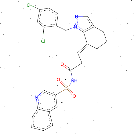 O=C(C/C=C1\CCCc2cnn(Cc3ccc(Cl)cc3Cl)c21)NS(=O)(=O)c1cnc2ccccc2c1